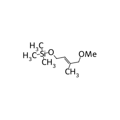 COCC(C)=CCO[Si](C)(C)C